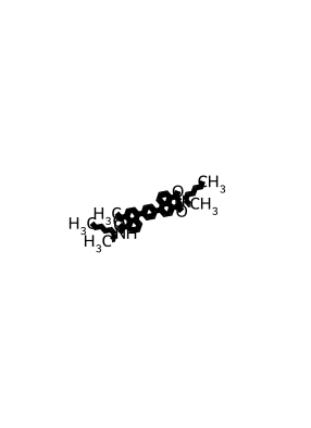 CCCCCC(CC)NC(=O)c1cccc2c(-c3ccc(-c4ccc5c6c(cccc46)C(=O)N(C(CC)CCCCC)C5=O)cc3)ccc(C(C)=O)c12